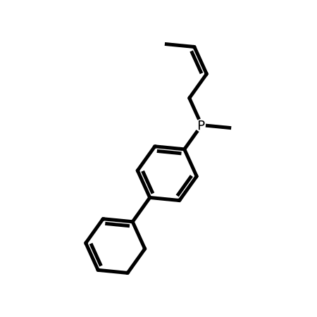 C/C=C\CP(C)c1ccc(C2=CC=CCC2)cc1